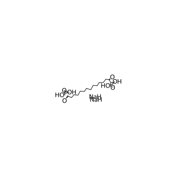 O=C(CCCCCCCCCCCCC(=O)P(=O)(O)O)P(=O)(O)O.[NaH].[NaH]